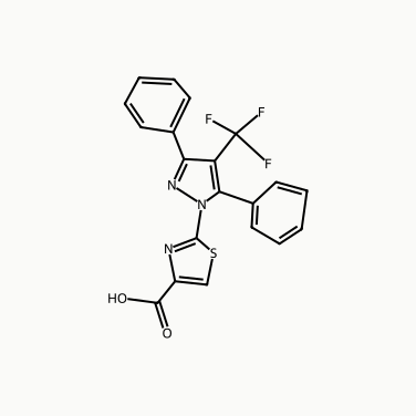 O=C(O)c1csc(-n2nc(-c3ccccc3)c(C(F)(F)F)c2-c2ccccc2)n1